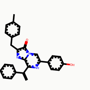 C=C(c1ccccc1)c1[nH]c(-c2ccc(O)cc2)cn2c(=O)c(Cc3ccc(C)cc3)nc1-2